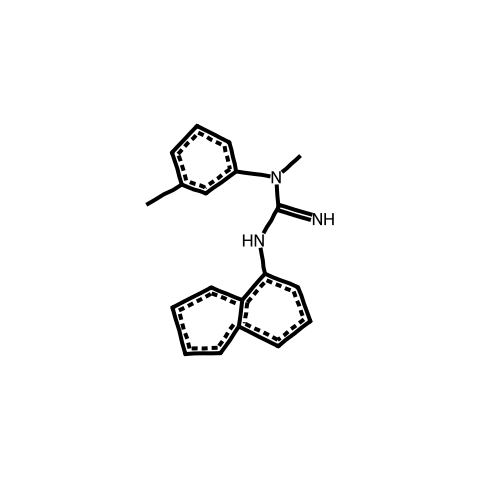 Cc1cccc(N(C)C(=N)Nc2cccc3ccccc23)c1